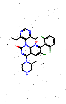 CCc1ncnc(CC)c1-n1c(=O)nc(N2CCNC[C@@H]2C)c2cc(F)c(-c3c(F)cccc3F)[n+]([O-])c21